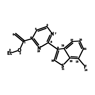 C=C(OCC)c1ccnc(-c2csc3c(F)cccc23)n1